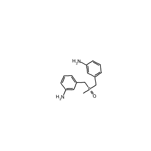 CP(=O)(Cc1cccc(N)c1)Cc1cccc(N)c1